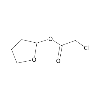 O=C(CCl)OC1CCCO1